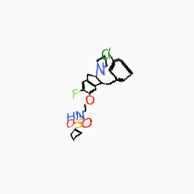 O=S(=O)(NCCOc1cc2c(cc1F)CC(N1CCC1)C2Cc1cccc(Cl)c1)C1CCC1